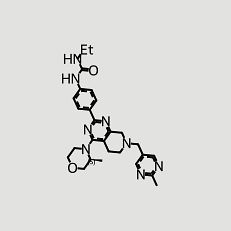 CCNC(=O)Nc1ccc(-c2nc3c(c(N4CCOC[C@@H]4C)n2)CCN(Cc2cnc(C)nc2)C3)cc1